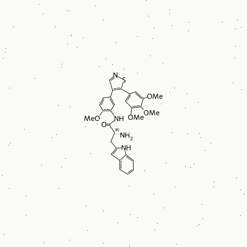 COc1ccc(-c2cnsc2-c2cc(OC)c(OC)c(OC)c2)cc1NC(=O)[C@H](N)Cc1cc2ccccc2[nH]1